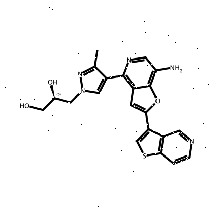 Cc1nn(C[C@H](O)CO)cc1-c1ncc(N)c2oc(-c3csc4ccncc34)cc12